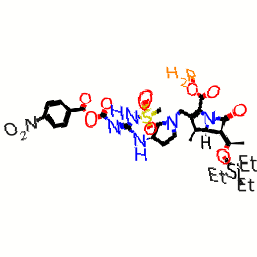 CC[Si](CC)(CC)O[C@H](C)[C@@H]1C(=O)N2C(C(=O)OP)=C(CN3CC[C@H](NC(=NC(=O)OC(=O)c4ccc([N+](=O)[O-])cc4)NS(C)(=O)=O)C3)[C@H](C)[C@H]12